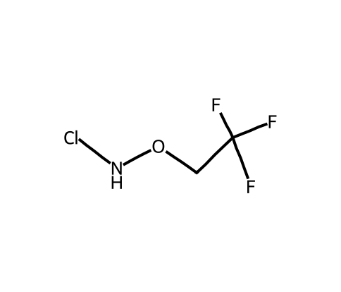 FC(F)(F)CONCl